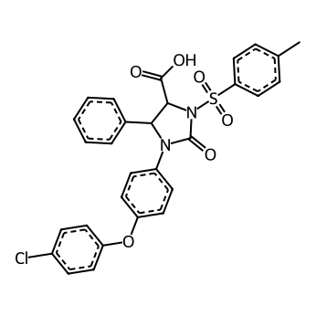 Cc1ccc(S(=O)(=O)N2C(=O)N(c3ccc(Oc4ccc(Cl)cc4)cc3)C(c3ccccc3)C2C(=O)O)cc1